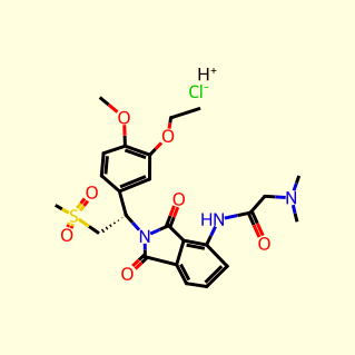 CCOc1cc([C@@H](CS(C)(=O)=O)N2C(=O)c3cccc(NC(=O)CN(C)C)c3C2=O)ccc1OC.[Cl-].[H+]